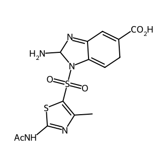 CC(=O)Nc1nc(C)c(S(=O)(=O)N2C3=CCC(C(=O)O)=CC3=NC2N)s1